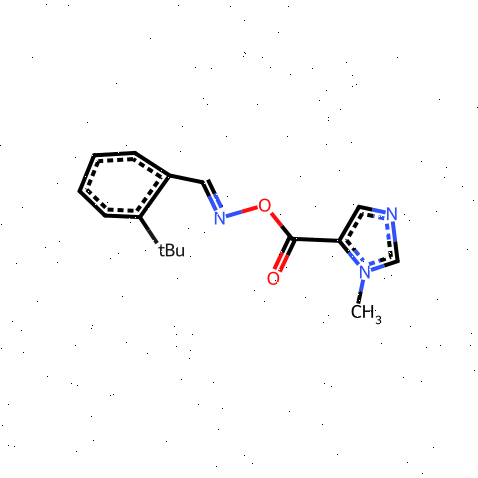 Cn1cncc1C(=O)ON=Cc1ccccc1C(C)(C)C